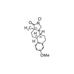 COc1ccc2c(c1)CC[C@@H]1[C@@H]2CC[C@]2(C)C(=O)N(Cl)C[C@@H]12